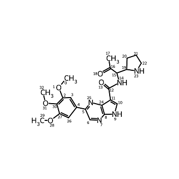 COc1cc(-c2cnc3[nH]cc(C(=O)NC(C(C)=O)C4CCCN4)c3n2)cc(OC)c1OC